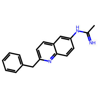 CC(=N)Nc1ccc2nc(Cc3ccccc3)ccc2c1